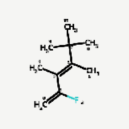 C=C(F)/C(C)=C(\C)C(C)(C)C